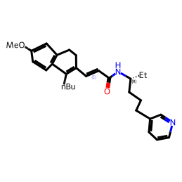 CCCCC1=C(/C=C/C(=O)N[C@H](CC)CCCc2cccnc2)CCc2cc(OC)ccc21